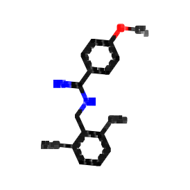 COc1cccc(OC)c1CNC(=N)c1ccc(OC(F)(F)F)cc1